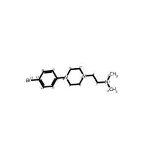 CN(C)CCN1CCN(c2ccc(Br)cc2)CC1